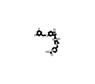 O=C(O)N1CCC(CN2Cc3nc(-c4n[nH]c5ccc(OCCc6cc(F)cc(F)c6)cc45)[nH]c3C2)CC1